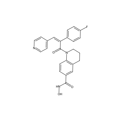 O=C(NO)c1ccc2c(c1)CCCN2C(=O)/C(=C\c1ccncc1)c1ccc(F)cc1